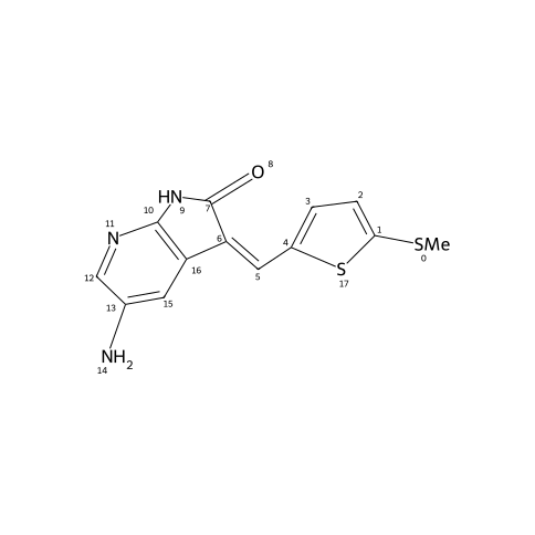 CSc1ccc(C=C2C(=O)Nc3ncc(N)cc32)s1